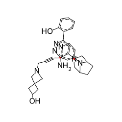 Nc1nnc(-c2ccccc2O)cc1N1CC2CCC(C1)N2c1ccnc(C#CCN2CC3(CC(O)C3)C2)c1